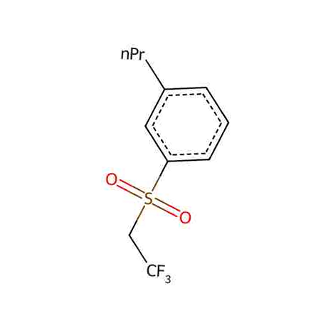 CCCc1cccc(S(=O)(=O)CC(F)(F)F)c1